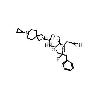 C#CCNC(=O)[C@H](CC(F)(F)Cc1ccccc1)NC(=O)N1CC2(CCN(C3CC3)CC2)C1